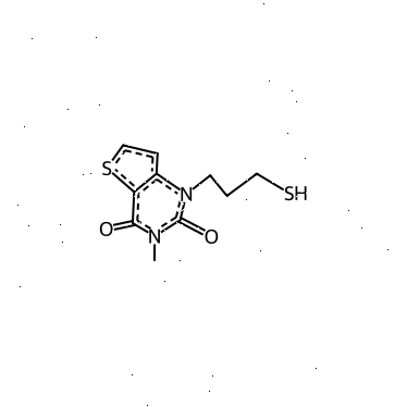 Cn1c(=O)c2sccc2n(CCCS)c1=O